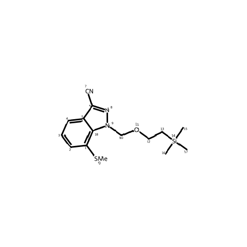 CSc1cccc2c(C#N)nn(COCC[Si](C)(C)C)c12